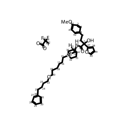 COc1ccc(CCC(O)(C(=O)N[C@H]2C[N+]3(CCCCCCOCCCCc4ccccc4)CCC2CC3)c2ccco2)cc1.O=C([O-])C(F)(F)F